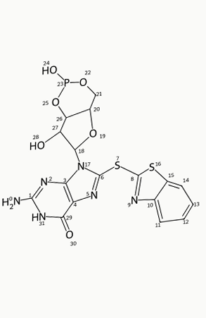 Nc1nc2c(nc(Sc3nc4ccccc4s3)n2C2OC3COP(O)OC3C2O)c(=O)[nH]1